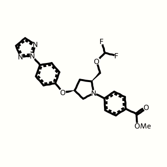 COC(=O)c1ccc(N2C[C@@H](Oc3ccc(-n4nccn4)cc3)C[C@H]2COC(F)F)cc1